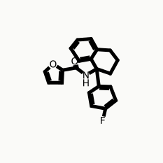 O=C(NC1(c2ccc(F)cc2)CCCc2ccccc21)c1ccco1